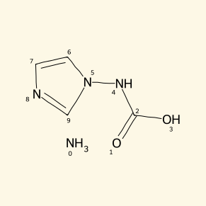 N.O=C(O)Nn1ccnc1